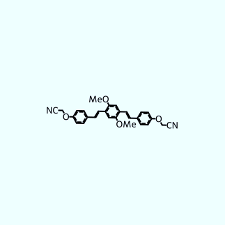 COc1cc(C=Cc2ccc(OCC#N)cc2)c(OC)cc1C=Cc1ccc(OCC#N)cc1